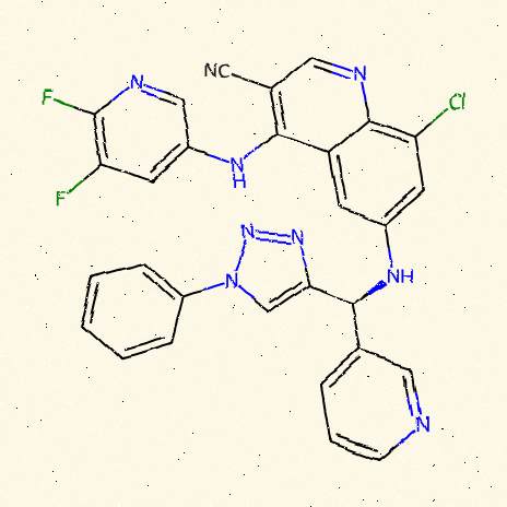 N#Cc1cnc2c(Cl)cc(N[C@@H](c3cccnc3)c3cn(-c4ccccc4)nn3)cc2c1Nc1cnc(F)c(F)c1